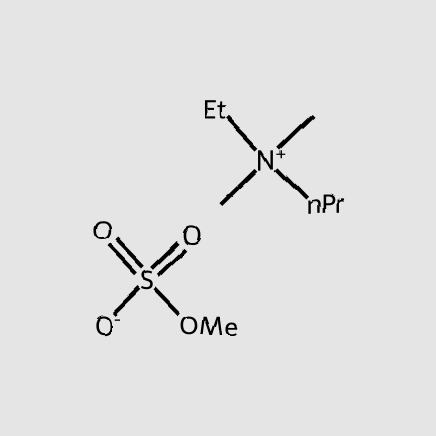 CCC[N+](C)(C)CC.COS(=O)(=O)[O-]